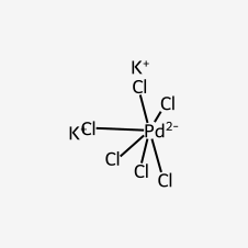 [Cl][Pd-2]([Cl])([Cl])([Cl])([Cl])[Cl].[K+].[K+]